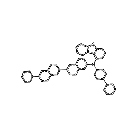 c1ccc(-c2ccc(N(c3ccc4cc(-c5ccc6cc(-c7ccccc7)ccc6c5)ccc4c3)c3cccc4sc5ccccc5c34)cc2)cc1